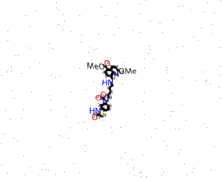 COC(=O)c1ccc(CNCCCC2CN(c3ccc4c(c3)NC(=O)CS4)C(=O)O2)c2nc(OC)ccc12